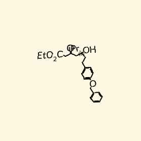 CCOC(=O)CC(=O)C[C@@](O)(CCc1ccc(OCc2ccccc2)cc1)C(C)C